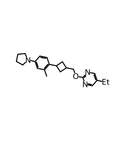 CCc1cnc(OCC2CC(c3ccc(N4CCCC4)cc3C)C2)nc1